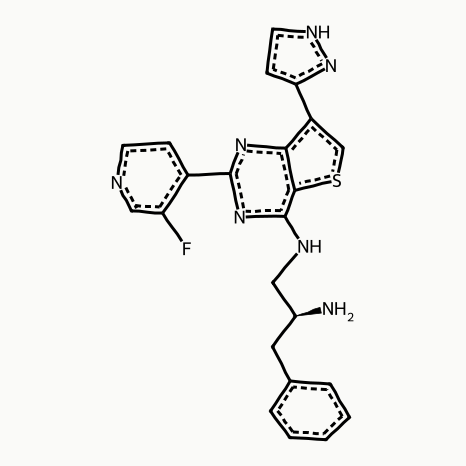 N[C@H](CNc1nc(-c2ccncc2F)nc2c(-c3cc[nH]n3)csc12)Cc1ccccc1